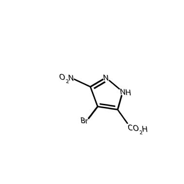 O=C(O)c1[nH]nc([N+](=O)[O-])c1Br